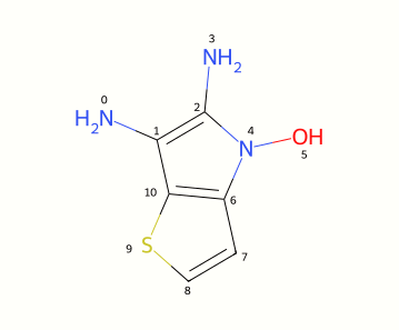 Nc1c(N)n(O)c2ccsc12